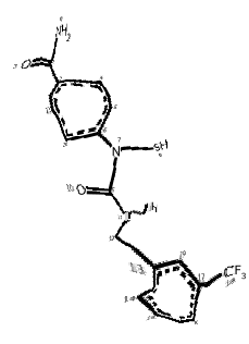 NC(=O)c1ccc(N(S)C(=O)NCc2cccc(C(F)(F)F)c2)cc1